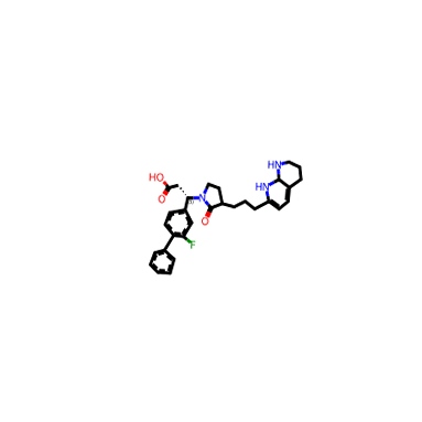 O=C(O)C[C@@H](c1ccc(-c2ccccc2)c(F)c1)N1CCC(CCCC2=CC=C3CCCNC3N2)C1=O